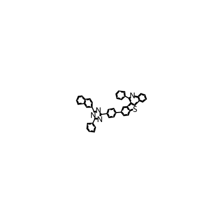 c1ccc(-c2nc(-c3ccc(-c4ccc5sc6c7ccccc7nc(-c7ccccc7)c6c5c4)cc3)nc(-c3ccc4ccccc4c3)n2)cc1